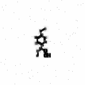 CCc1ccc(C(CC)OO)cc1